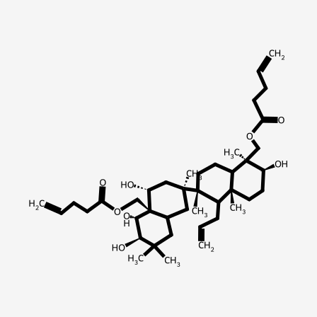 C=CCCC(=O)OC[C@@]12C(CC(C)(C)[C@@H](O)[C@@H]1O)C[C@](C)([C@]1(C)CCC3[C@](C)(CC[C@H](O)[C@]3(C)COC(=O)CCC=C)C1CC=C)C[C@H]2O